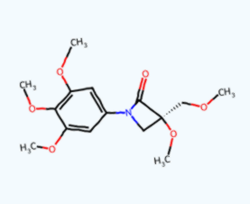 COC[C@]1(OC)CN(c2cc(OC)c(OC)c(OC)c2)C1=O